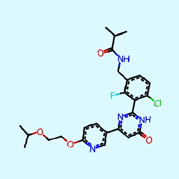 CC(C)OCCOc1ccc(-c2cc(=O)[nH]c(-c3c(Cl)ccc(CNC(=O)C(C)C)c3F)n2)cn1